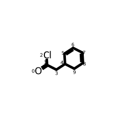 O=C(Cl)CC1C=CC=CC1